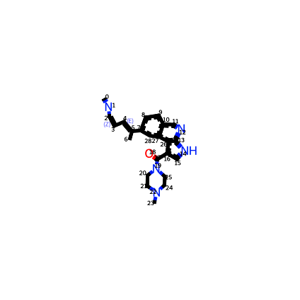 C=N/C=C\C=C(/C)c1ccc2cnc3[nH]cc(C(=O)N4CCN(C)CC4)c3c2c1